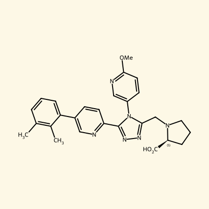 COc1ccc(-n2c(CN3CCC[C@H]3C(=O)O)nnc2-c2ccc(-c3cccc(C)c3C)cn2)cn1